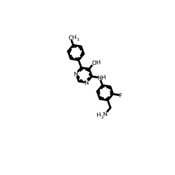 Cc1ccc(-c2ncnc(Nc3ccc(CN)c(F)c3)c2O)cc1